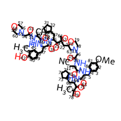 COc1ccc(CC(NC(=O)C(CC#N)NC(=O)CN2CCOC(CC3(C(=O)C(CC4=CCCC4)NC(=O)C(Cc4ccc(O)c(C)c4)NC(=O)C(C)NC(=O)CN4CCOCC4)CO3)C2)C(=O)NC(CC2=CCCC2)C(=O)C2(C)CO2)cc1